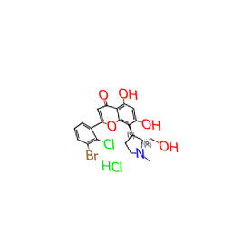 CN1CC[C@@H](c2c(O)cc(O)c3c(=O)cc(-c4cccc(Br)c4Cl)oc23)[C@@H]1CO.Cl